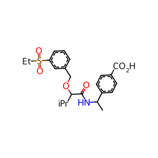 CCS(=O)(=O)c1cccc(COC(C(=O)NC(C)c2ccc(C(=O)O)cc2)C(C)C)c1